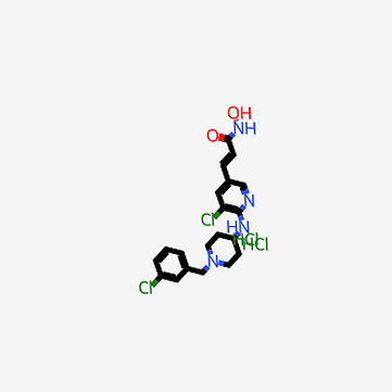 Cl.Cl.O=C(C=Cc1cnc(NC2CCN(Cc3cccc(Cl)c3)CC2)c(Cl)c1)NO